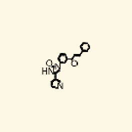 O=C(C=Cc1ccccc1)c1cccc(-n2cc(-c3cccnc3)[nH]c2=O)c1